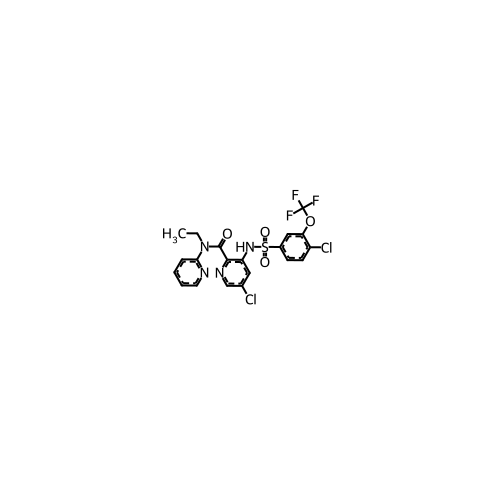 CCN(C(=O)c1ncc(Cl)cc1NS(=O)(=O)c1ccc(Cl)c(OC(F)(F)F)c1)c1ccccn1